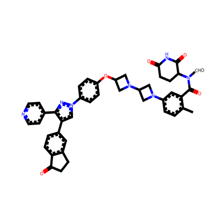 Cc1ccc(N2CC(N3CC(Oc4ccc(-n5cc(-c6ccc7c(c6)CCC7=O)c(-c6ccncc6)n5)cc4)C3)C2)cc1C(=O)N(C=O)C1CCC(=O)NC1=O